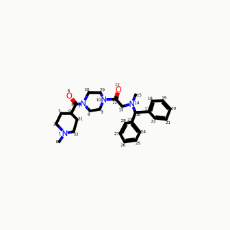 CN1CCC(C(=O)N2CCN(C(=O)CN(C)C(c3ccccc3)c3ccccc3)CC2)CC1